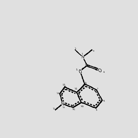 CN(C)C(=O)Oc1cccc2c[n+](C)ccc12